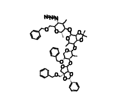 CC1C(O[C@@H]2OC[C@]3(COCc4ccccc4)O[C@@H](c4ccccc4)OC23)[C@H](OCc2ccccc2)CO[C@H]1O[C@H]1C(C)O[C@@H](OC2C(C)[C@@H](N=[N+]=[N-])C(COCc3ccccc3)O[C@H]2C)C2OC(C)(C)OC21